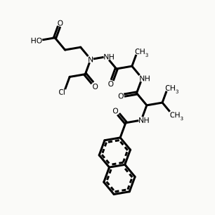 CC(NC(=O)C(NC(=O)c1ccc2ccccc2c1)C(C)C)C(=O)NN(CCC(=O)O)C(=O)CCl